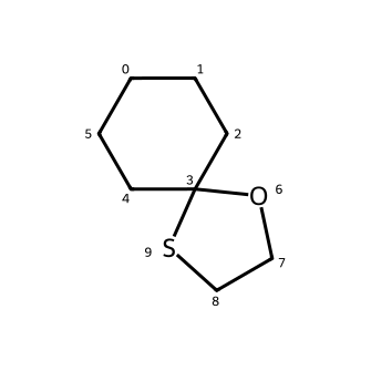 C1CCC2(CC1)OCCS2